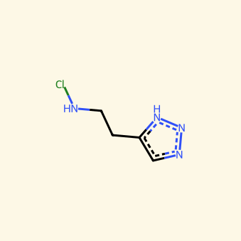 ClNCCc1cnn[nH]1